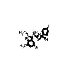 CCn1nc2c(C)cc(Br)cc2c1N(C)C1=NC(C#N)(c2ccc(F)cc2)CS1